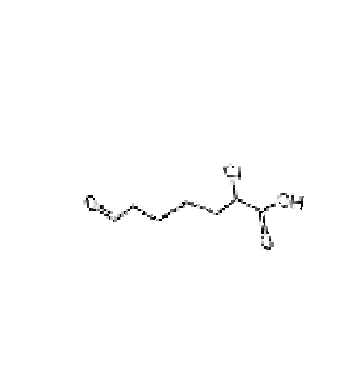 O=CCCCCC(Cl)C(=O)O